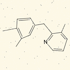 Cc1ccc(Cc2ncccc2C)cc1C